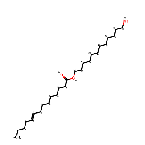 CCCCC=CCCCCCCCC(=O)OCCCCCCCCCCCCO